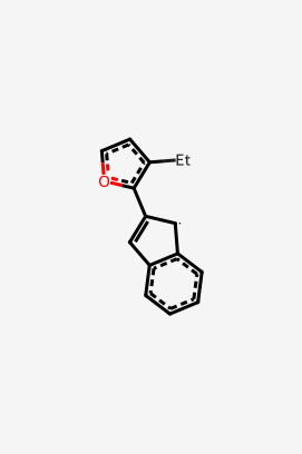 CCc1ccoc1C1=Cc2ccccc2[CH]1